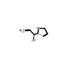 CC[C@H](O)[C@H]1CCCN1